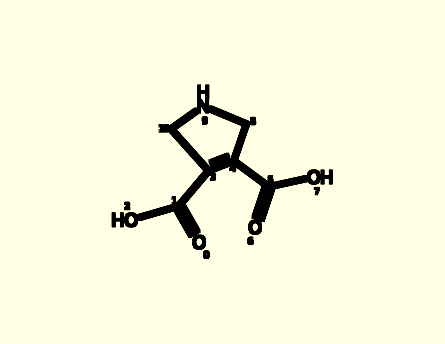 O=C(O)C1=C(C(=O)O)CNC1